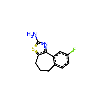 Nc1nc2c(s1)CCCc1ccc(F)cc1-2